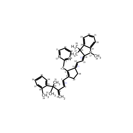 C=C(/C=C/C1=C(Sc2ncccn2)C(=C/C=C2/N(C)c3ccccc3C2(C)C)/CC1)C(C)(C)c1ccccc1C